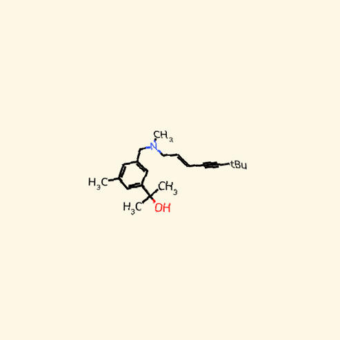 Cc1cc(CN(C)CC=CC#CC(C)(C)C)cc(C(C)(C)O)c1